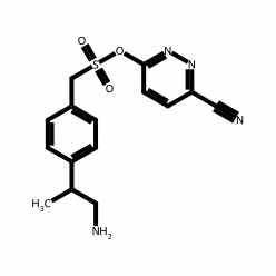 CC(CN)c1ccc(CS(=O)(=O)Oc2ccc(C#N)nn2)cc1